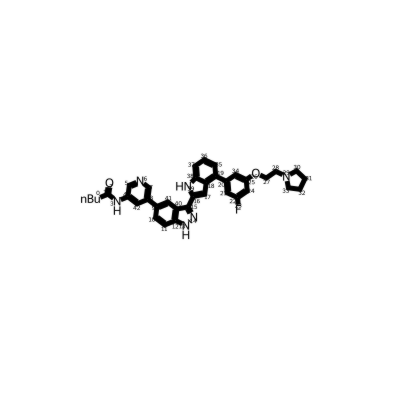 CCCCC(=O)Nc1cncc(-c2ccc3[nH]nc(-c4cc5c(-c6cc(F)cc(OCCN7CCCC7)c6)cccc5[nH]4)c3c2)c1